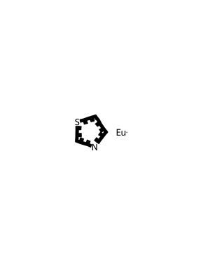 [Eu].c1cscn1